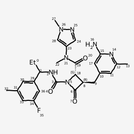 CCC(NC(=O)N1C(=O)[C@H](Cc2cc(C)nc(N)c2)[C@H]1C(=O)N(C)c1cnn(C)c1)c1cc(C)cc(F)c1